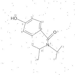 CC(C)N(C(=O)c1ccc(O)cc1)C(C)C